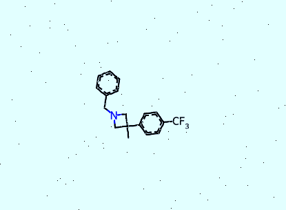 CC1(c2ccc(C(F)(F)F)cc2)CN(Cc2ccccc2)C1